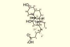 C[C@H](CCC(=O)O)[C@H]1CC[C@H]2[C@@H]3CCC4CC(O)CC[C@]4(C)[C@H]3C(O)C[C@]12C